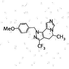 COc1ccc(Cn2nc(C(F)(F)F)c3c2-c2cncn2C(C)C3)cc1